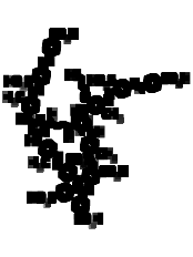 Cc1cc(Nc2nc(NCCNc3nc(Nc4ccc(N=Nc5ccc(N=Nc6ccc(S(=O)(=O)O)cc6)cc5S(=O)(=O)O)c(C)c4)nc(Nc4cc(C)c(N=Nc5ccc(N=Nc6ccc(S(=O)(=O)O)cc6)cc5S(=O)(=O)O)cc4OCCCS)n3)nc(Nc3ccc(N=Nc4ccc(N=Nc5ccc(S(=O)(=O)O)cc5)cc4S(=O)(=O)O)c(C)c3)n2)ccc1N=Nc1ccc(N=Nc2ccc(S(=O)(=O)O)cc2)cc1S(=O)(=O)O